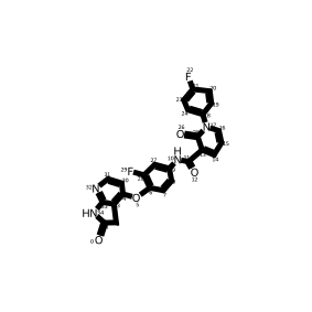 O=C1Cc2c(Oc3ccc(NC(=O)c4cccn(-c5ccc(F)cc5)c4=O)cc3F)ccnc2N1